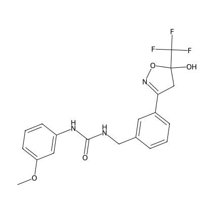 COc1cccc(NC(=O)NCc2cccc(C3=NOC(O)(C(F)(F)F)C3)c2)c1